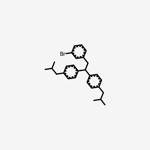 CC(C)Cc1ccc(C(Cc2cccc(Br)c2)c2ccc(CC(C)C)cc2)cc1